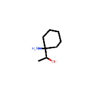 CC(O)C1(N)CCCCC1